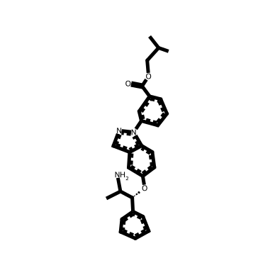 CC(C)COC(=O)c1cccc(-n2ncc3cc(O[C@H](c4ccccc4)C(C)N)ccc32)c1